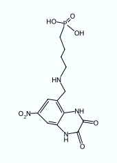 O=c1[nH]c2cc([N+](=O)[O-])cc(CNCCCCP(=O)(O)O)c2[nH]c1=O